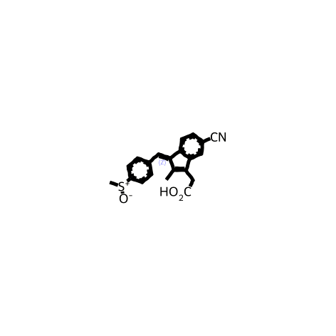 CC1=C(CC(=O)O)c2cc(C#N)ccc2/C1=C/c1ccc([S+](C)[O-])cc1